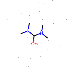 CN(C)C(O)N(C)C